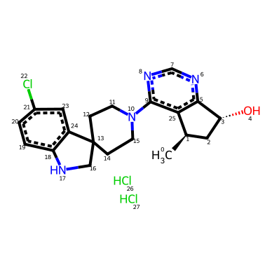 C[C@@H]1C[C@@H](O)c2ncnc(N3CCC4(CC3)CNc3ccc(Cl)cc34)c21.Cl.Cl